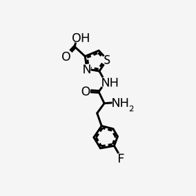 NC(Cc1ccc(F)cc1)C(=O)Nc1nc(C(=O)O)cs1